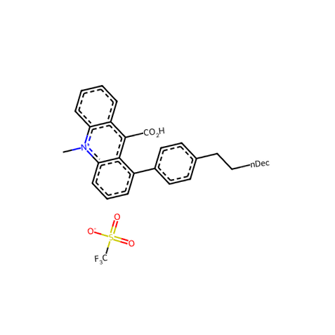 CCCCCCCCCCCCc1ccc(-c2cccc3c2c(C(=O)O)c2ccccc2[n+]3C)cc1.O=S(=O)([O-])C(F)(F)F